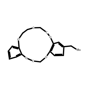 CC(C)(C)Cc1ccc2c(c1)OCCOCCOc1ccccc1OCCO2